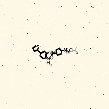 C/N=N/c1ccc(C(=O)Nc2cc(-c3cccs3)ccc2N)cc1